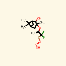 C=C(OC1(C)CC2CC(C1O)C2(C)C)C(F)(F)SOOO